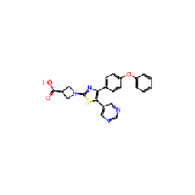 O=C(O)C1CN(c2nc(-c3ccc(Oc4ccccc4)cc3)c(-c3cncnc3)s2)C1